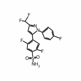 NS(=O)(=O)c1cc(F)c(-c2cc(C(F)F)nn2-c2ccc(F)cc2)cc1F